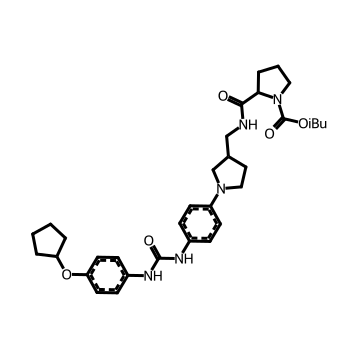 CC(C)COC(=O)N1CCCC1C(=O)NCC1CCN(c2ccc(NC(=O)Nc3ccc(OC4CCCC4)cc3)cc2)C1